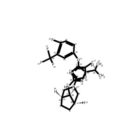 Cc1nnc(N2C[C@H]3CC[C@@H](C2)[C@H]3Nc2nc(Oc3ccc(F)c(C(F)(F)F)c3)n(C(C)C)n2)o1